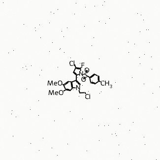 COc1cc2c(-c3cc(Cl)c(F)n3S(=O)(=O)c3ccc(C)cc3)cn(CCCl)c2cc1OC